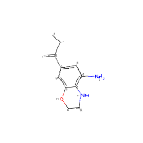 C=C(CC)c1cc(N)c2c(c1)OCCN2